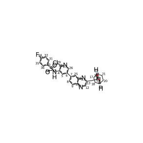 O=S(=O)(Nc1cc(-c2ccc3ncc(N4C[C@H]5CC[C@H](CC5)C4)nc3c2)cnc1Cl)c1ccc(F)cc1